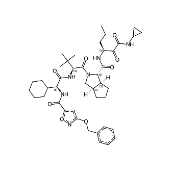 CCC[C@H](NC(=O)[C@@H]1[C@H]2CCC[C@H]2CN1C(=O)[C@@H](NC(=O)[C@@H](NC(=O)c1cc(OCc2ccccc2)no1)C1CCCCC1)C(C)(C)C)C(=O)C(=O)NC1CC1